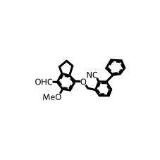 COc1cc(OCc2cccc(-c3ccccc3)c2C#N)c2c(c1C=O)CCC2